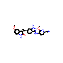 COc1ccc2c(c1)[C@]1(C[C@H]1c1ccc3c(Nc4ccc(C#N)nc4OC)n[nH]c3c1)C(=O)N2